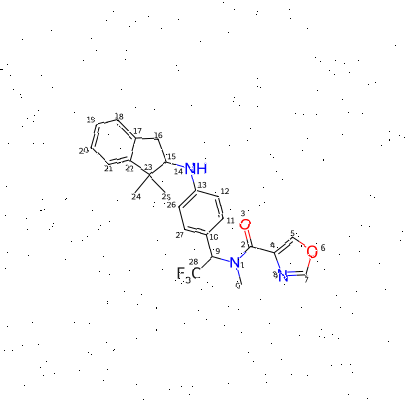 CN(C(=O)c1cocn1)C(c1ccc(NC2Cc3ccccc3C2(C)C)cc1)C(F)(F)F